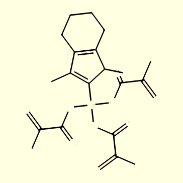 C=C(C)C(=O)[O][Ti]([O]C(=O)C(=C)C)([O]C(=O)C(=C)C)[C]1=C(C)C2=C(CCCC2)C1C